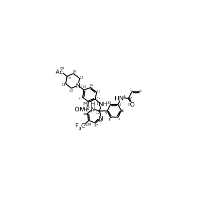 C=CC(=O)Nc1cccc(C2(Nc3ccc(N4CCC(C(C)=O)CC4)cc3OC)N=CC(C(F)(F)F)=CN2)c1